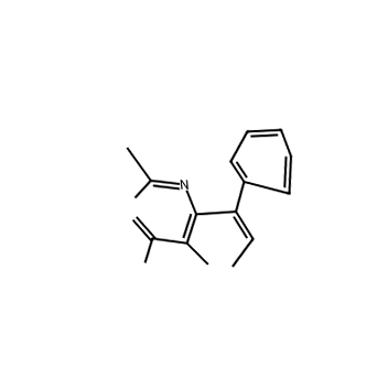 C=C(C)/C(C)=C(N=C(C)C)/C(=C\C)c1ccccc1